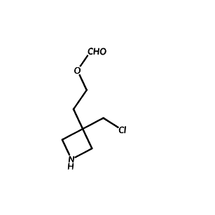 O=COCCC1(CCl)CNC1